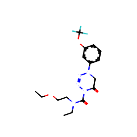 CCOCCN(CC)C(=O)N1N=NN(c2cccc(OC(F)(F)F)c2)CC1=O